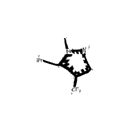 CC(C)c1c(C(F)(F)F)cnn1C